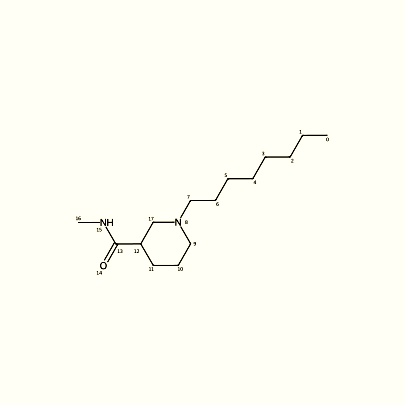 CCCCCCCCN1CCCC(C(=O)NC)C1